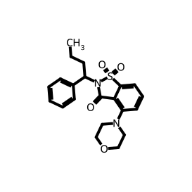 CCCC(c1ccccc1)N1C(=O)c2c(N3CCOCC3)cccc2S1(=O)=O